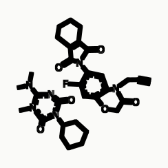 C#CCN1C(=O)COc2cc(F)c(N3C(=O)C4=C(CCCC4)C3=O)cc21.CN(C)c1nc(=O)n(C2CCCCC2)c(=O)n1C